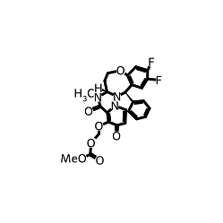 COC(=O)OCOc1c2n(ccc1=O)N1[C@H](c3ccccc3)c3cc(F)c(F)cc3OCC[C@H]1N(C)C2=O